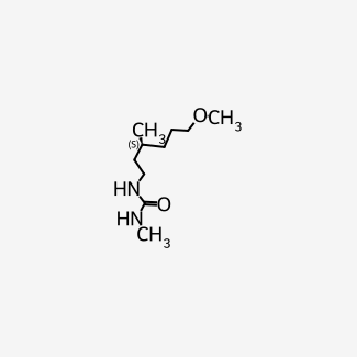 CNC(=O)NCC[C@@H](C)CCCOC